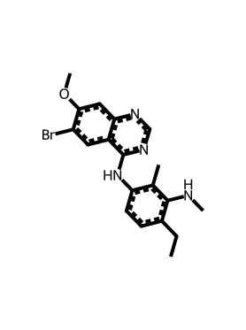 CCc1ccc(Nc2ncnc3cc(OC)c(Br)cc23)c(C)c1NC